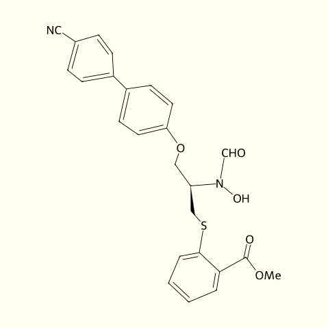 COC(=O)c1ccccc1SC[C@@H](COc1ccc(-c2ccc(C#N)cc2)cc1)N(O)C=O